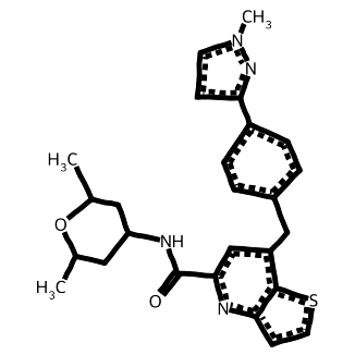 CC1CC(NC(=O)c2cc(Cc3ccc(-c4ccn(C)n4)cc3)c3sccc3n2)CC(C)O1